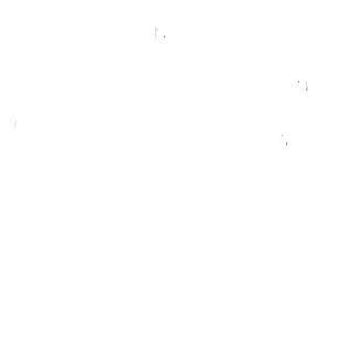 Cn1nc(Cl)c(C2=NOCC(CI)O2)c1SCc1ccccc1